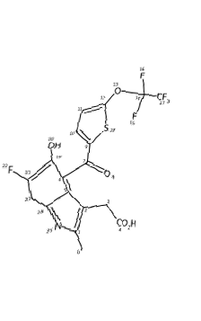 CC1=C(CC(=O)O)C2=C(C(=O)c3ccc(OC(F)(F)C(F)(F)F)s3)C(O)=C(F)CC2=N1